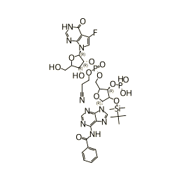 CC(C)(C)[Si](C)(C)OC1[C@H](O[PH](=O)O)C(COP(=O)(OCCC#N)O[C@@H]2[C@H](O)C(CO)O[C@H]2n2cc(F)c3c(=O)[nH]cnc32)O[C@H]1n1cnc2c(NC(=O)c3ccccc3)ncnc21